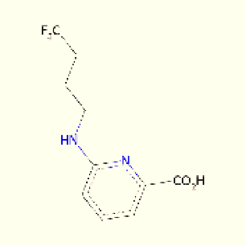 O=C(O)c1cccc(NCCCC(F)(F)F)n1